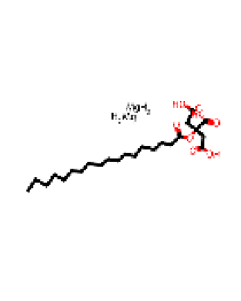 CCCCCCCCCCCCCCCCCC(=O)OC(CC(=O)O)(CC(=O)O)C(=O)O.[MgH2].[MgH2]